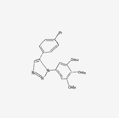 COc1cc(-n2nncc2-c2ccc(C(C)C)cc2)cc(OC)c1OC